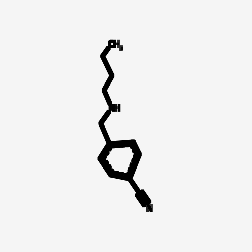 CCCCNCc1ccc(C#N)cc1